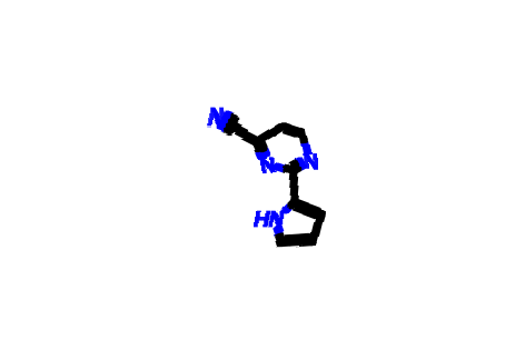 N#Cc1ccnc(-c2ccc[nH]2)n1